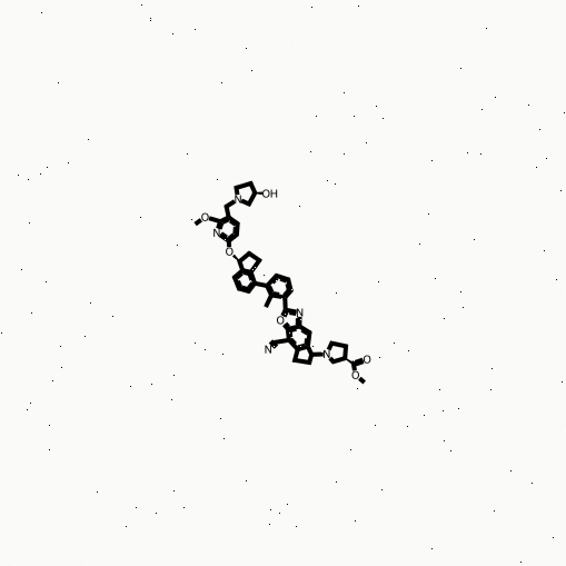 COC(=O)[C@@H]1CCN(C2CCc3c2cc2nc(-c4cccc(-c5cccc6c5CC[C@@H]6Oc5ccc(CN6CC[C@@H](O)C6)c(OC)n5)c4C)oc2c3C#N)C1